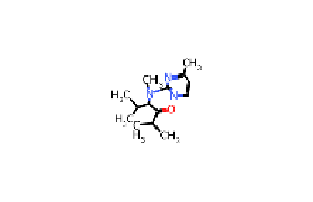 Cc1ccnc(N(C)C(C(=O)C(C)C)C(C)C)n1